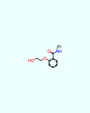 CC(C)NC(=O)c1ccccc1OCCO